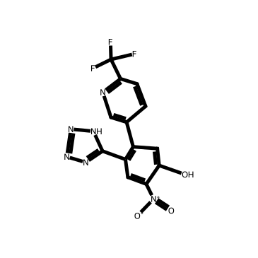 O=[N+]([O-])c1cc(-c2nnn[nH]2)c(-c2ccc(C(F)(F)F)nc2)cc1O